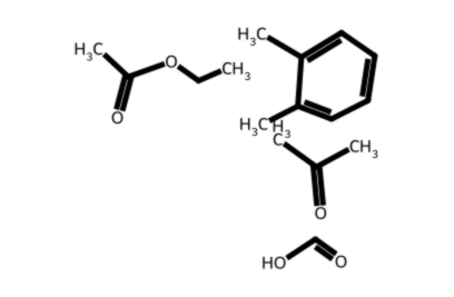 CC(C)=O.CCOC(C)=O.Cc1ccccc1C.O=CO